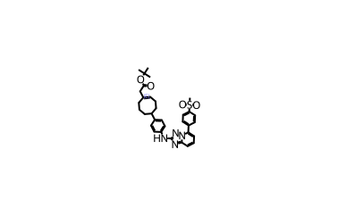 CC(C)(C)OC(=O)C/C1=C/CCC(c2ccc(Nc3nc4cccc(-c5ccc(S(C)(=O)=O)cc5)n4n3)cc2)CCC1